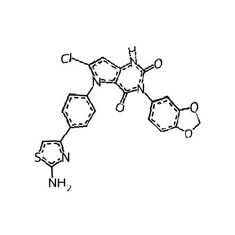 Nc1nc(-c2ccc(-n3c(Cl)cc4[nH]c(=O)n(-c5ccc6c(c5)OCO6)c(=O)c43)cc2)cs1